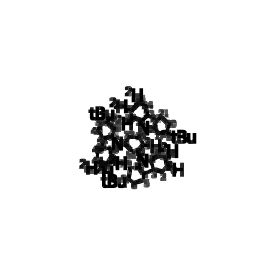 [2H]c1cc2c3ccc(C(C)(C)C)cc3n(-c3cc(-n4c5cc(C(C)(C)C)ccc5c5cc([2H])c([2H])c([2H])c54)cc(-n4c5cc(C(C)(C)C)ccc5c5cc([2H])c([2H])c([2H])c54)c3)c2c([2H])c1[2H]